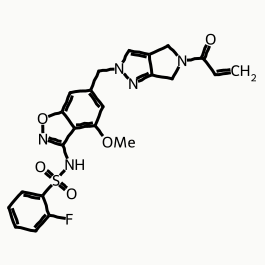 C=CC(=O)N1Cc2cn(Cc3cc(OC)c4c(NS(=O)(=O)c5ccccc5F)noc4c3)nc2C1